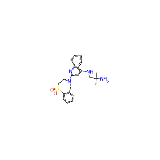 CC(C)(N)CNc1cc(N2CCS(=O)(=O)c3ccccc3C2)nc2ccccc12